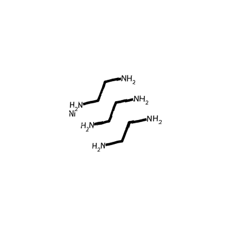 NCCN.NCCN.NCCN.[Ni]